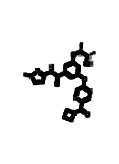 C[C@H](O)[C@H](C)Oc1cc(Oc2cnc(C(=O)N3CCC3)cn2)cc(C(=O)Nc2ccn(C)n2)c1